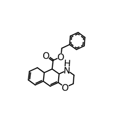 O=C(OCc1ccccc1)C1C2CC=CC=C2C=C2OCCNC21